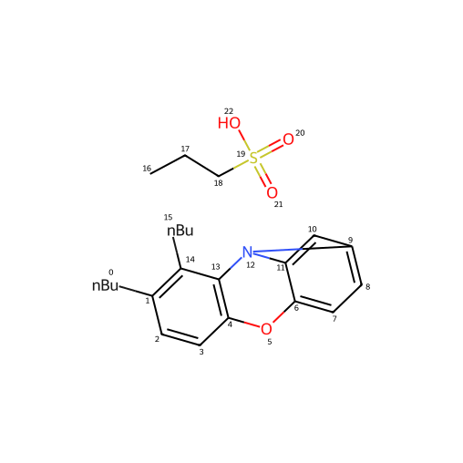 CCCCc1ccc2oc3ccc4cc3-n4c2c1CCCC.CCCS(=O)(=O)O